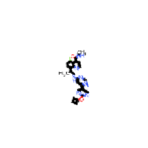 CNC(=O)c1ccnc2c([C@H](C)CNc3cc(-c4cnc(OC5CCC5)nc4)ncn3)ccc(F)c12